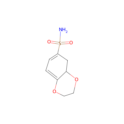 NS(=O)(=O)C1=CC=C2OCCOC2C1